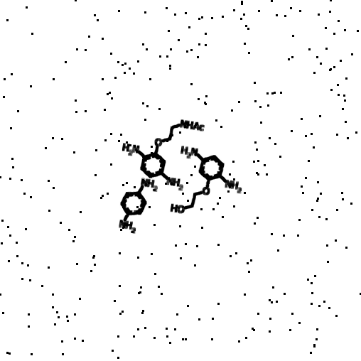 CC(=O)NCCOc1cc(N)ccc1N.Nc1ccc(N)c(OCCO)c1.Nc1ccc(N)cc1